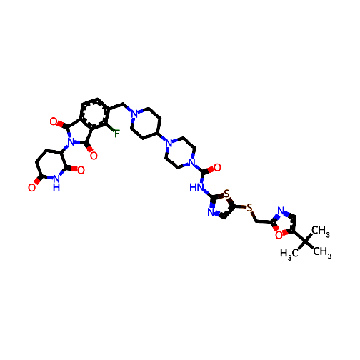 CC(C)(C)c1cnc(CSc2cnc(NC(=O)N3CCN(C4CCN(Cc5ccc6c(c5F)C(=O)N(C5CCC(=O)NC5=O)C6=O)CC4)CC3)s2)o1